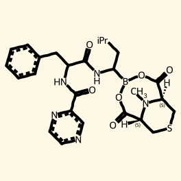 CC(C)CC(NC(=O)C(Cc1ccccc1)NC(=O)c1cnccn1)B1OC(=O)[C@H]2CSC[C@H](C(=O)O1)N2C